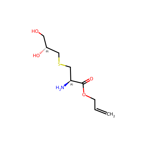 C=CCOC(=O)[C@@H](N)CSC[C@H](O)CO